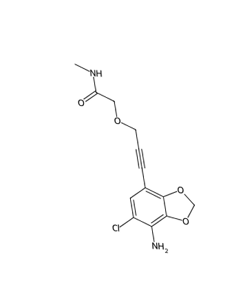 CNC(=O)COCC#Cc1cc(Cl)c(N)c2c1OCO2